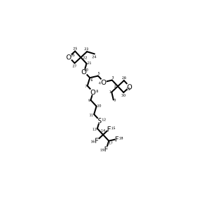 CCC1(COCC(COCCCSCC(F)(F)C(F)F)OCC2(CC)COC2)COC1